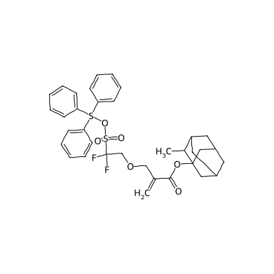 C=C(COCC(F)(F)S(=O)(=O)OS(c1ccccc1)(c1ccccc1)c1ccccc1)C(=O)OC12CC3CC(CC(C3)C1C)C2